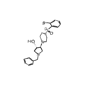 O=S(=O)(c1ccccc1Br)N1CCN([C@H]2CN(Cc3ccccc3)C[C@@H]2O)CC1